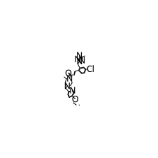 [CH2]COc1ccc(CN2CCN(C(=O)C=Cc3ccc(Cl)cc3Cn3nnc(C)n3)C(C)C2)nc1